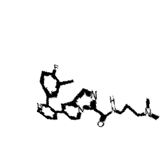 Cc1cc(-c2ncccc2-c2ccn3c(C(=O)NCCCN(C)C)ncc3c2)ccc1F